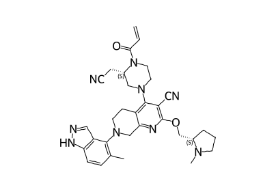 C=CC(=O)N1CCN(c2c(C#N)c(OC[C@@H]3CCCN3C)nc3c2CCN(c2c(C)ccc4[nH]ncc24)C3)C[C@@H]1CC#N